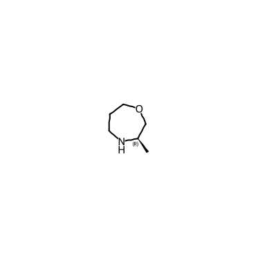 C[C@@H]1COCCCN1